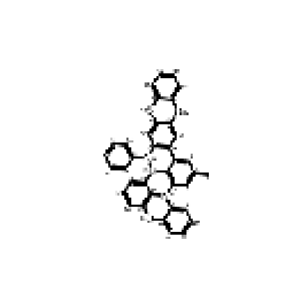 Cc1cc2c3c(c1)N1c4ccccc4Oc4cccc(c41)B3N(c1ccccc1)c1cc3c(cc1-2)Oc1ccccc1S3